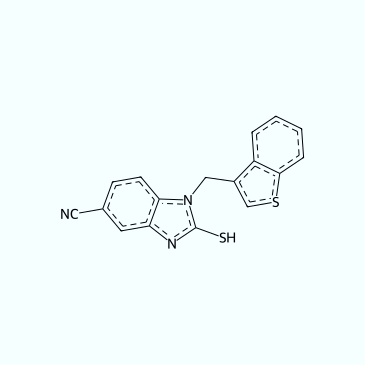 N#Cc1ccc2c(c1)nc(S)n2Cc1csc2ccccc12